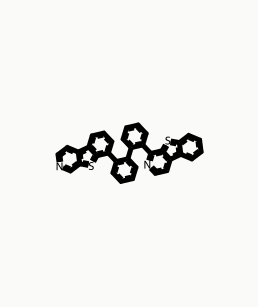 c1ccc(-c2cccc3c2sc2cnccc23)c(-c2ccccc2-c2nccc3c2sc2ccccc23)c1